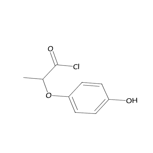 CC(Oc1ccc(O)cc1)C(=O)Cl